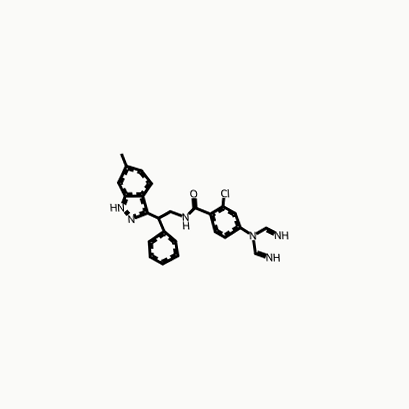 Cc1ccc2c(C(CNC(=O)c3ccc(N(C=N)C=N)cc3Cl)c3ccccc3)n[nH]c2c1